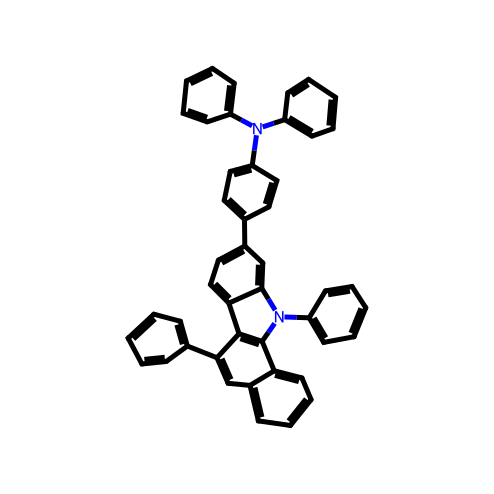 c1ccc(-c2cc3ccccc3c3c2c2ccc(-c4ccc(N(c5ccccc5)c5ccccc5)cc4)cc2n3-c2ccccc2)cc1